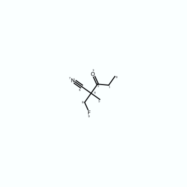 CCC(=O)C(C)(C#N)CF